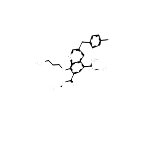 CCCCOc1c(C(=O)OC)cc(/C(N)=N/O)c2cc(Cc3ccc(F)cc3)cnc12